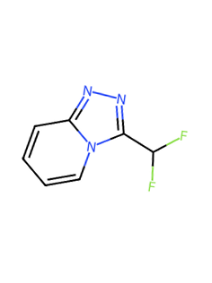 FC(F)c1nnc2ccccn12